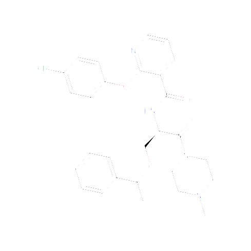 CC(OC[C@@H](NC(=O)c1cccnc1Oc1ccc(Cl)cc1)C(=O)N1CCN(C)CC1)c1ccccc1